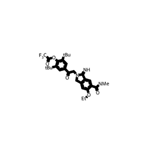 CCOc1cc2c(cc1C(=O)NC)C(=N)N(CC(=O)c1cc(C(C)(C)C)c(OC(=O)C(F)(F)F)c(C(C)(C)C)c1)C2